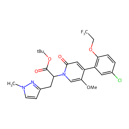 COc1cn(C(Cc2ccn(C)n2)C(=O)OC(C)(C)C)c(=O)cc1-c1cc(Cl)ccc1OCC(F)(F)F